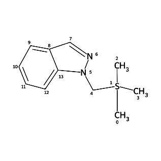 CS(C)(C)Cn1ncc2ccccc21